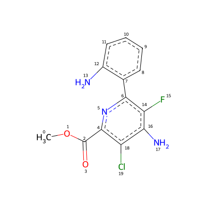 COC(=O)c1nc(-c2ccccc2N)c(F)c(N)c1Cl